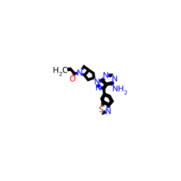 C=CC(=O)N1CC2CC(n3nc(-c4ccc5ncsc5c4)c4c(N)ncnc43)CC21